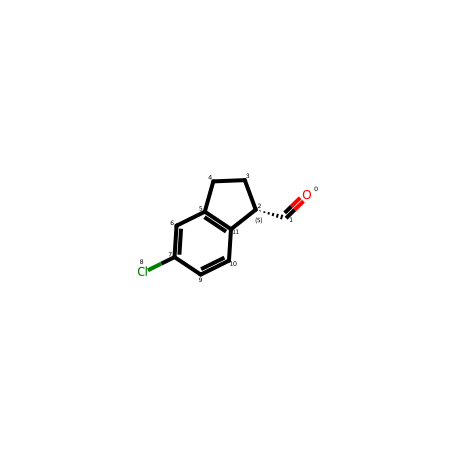 O=C[C@H]1CCc2cc(Cl)ccc21